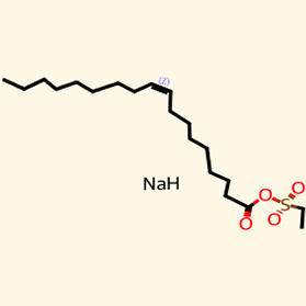 CCCCCCCC/C=C\CCCCCCCC(=O)OS(=O)(=O)CC.[NaH]